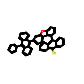 Sc1c2ccccc2c(-c2cccc3oc4cc(-c5c6ccccc6c(-c6ccccc6)c6ccccc56)ccc4c23)c2ccccc12